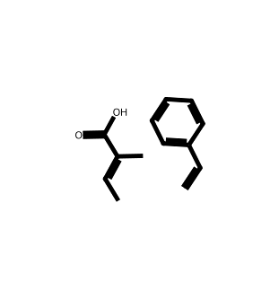 C/C=C(\C)C(=O)O.C=Cc1ccccc1